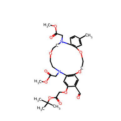 COC(=O)CN1CCOCCN(CC(=O)OC)c2cc(OCC(=O)OC(C)(C)C)c(C=O)cc2OCCOc2cc(C)ccc21